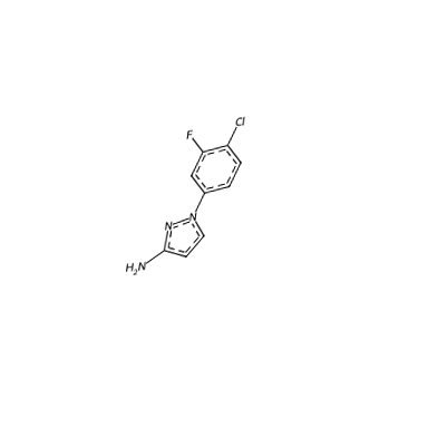 Nc1ccn(-c2ccc(Cl)c(F)c2)n1